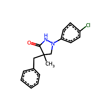 CC1(Cc2ccccc2)CN(c2ccc(Cl)cc2)NC1=O